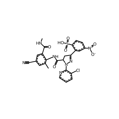 CNC(=O)c1cc(C#N)cc(C)c1NC(=O)C1CC(c2cc([N+](=O)[O-])ccc2S(=O)(=O)O)=NN1c1ncccc1Cl